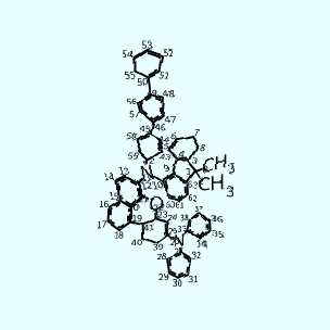 CC1(C)C2=C(C=CCC2)c2c(N(c3ccc4cccc5c4c3OC3C=C(N(c4ccccc4)c4ccccc4)CCC53)C3C=CC(c4ccc(C5=CC=CCC5)cc4)=CC3)cccc21